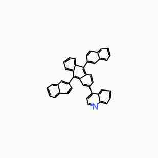 c1ccc2cc(-c3c4ccccc4c(-c4ccc5ccccc5c4)c4cc(-c5ccnc6ccccc56)ccc34)ccc2c1